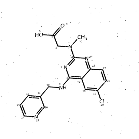 CN(CC(=O)O)c1nc(NCc2cccnc2)c2cc(Cl)ccc2n1